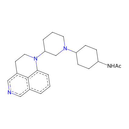 CC(=O)NC1CCC(N2CCCC(N3CCc4cncc5cccc3c45)C2)CC1